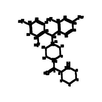 O=C(C1CCCCN1)N1CCN(C(c2ccc(F)cc2F)c2ccc(F)cc2F)CC1